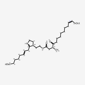 CCCCCCCC/C=C\CCCCCCCC(=O)N(C)CC(=O)OCCN1CCN=C1CC=CCCCCCCCCCCCCCC